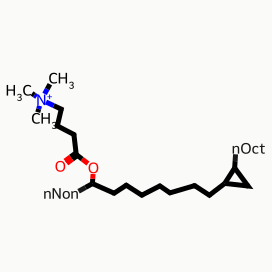 CCCCCCCCCC(CCCCCCCC1CC1CCCCCCCC)OC(=O)CCC[N+](C)(C)C